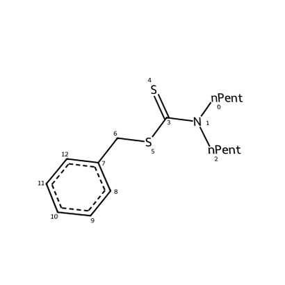 CCCCCN(CCCCC)C(=S)SCc1ccccc1